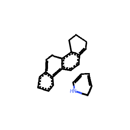 C1=CCNC=C1.C1=c2ccc3c(c2CCC1)CC=c1ccccc1=3